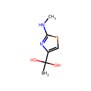 BC(O)(O)c1csc(NC)n1